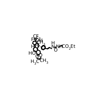 CCOC(=O)CCNC(=O)NC/C=C/c1ccc([C@H]2C[C@@]3(C)[C@@H](CC[C@@]3(O)C(F)(F)C(F)(F)F)[C@@H]3CC[C@@]4(O)CC5(CCC4=C32)OCC(C)(C)CO5)cc1